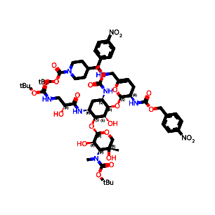 CN(C(=O)OC(C)(C)C)[C@@H]1[C@@H](O)[C@@H](O[C@@H]2[C@@H](O)[C@H](O[C@H]3OC(CNCC4CCN(C(=O)OC(C)(C)C)CC4)=CC[C@H]3NC(=O)OCc3ccc([N+](=O)[O-])cc3)[C@@H](NC(=O)OCc3ccc([N+](=O)[O-])cc3)C[C@H]2NC(=O)[C@H](O)CNC(=O)OC(C)(C)C)OC[C@]1(C)O